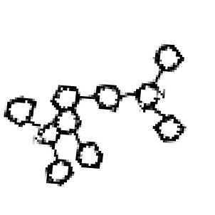 c1ccc(-c2cc(-c3ccc(-c4cccc5c4cc(-c4ccccc4)c4c(-c6ccccc6)nn(-c6ccccc6)c45)cc3)nc(-c3ccccc3)n2)cc1